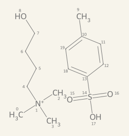 C[N+](C)(C)CCCCO.Cc1ccc(S(=O)(=O)O)cc1